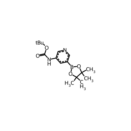 CC(C)(C)OC(=O)Nc1cncc(B2OC(C)(C)C(C)(C)O2)c1